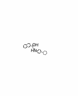 OC(CCNc1ccc(C2CCCCC2)cc1)c1ccc2ccccc2c1